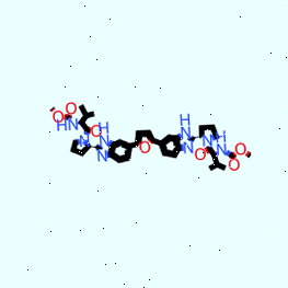 COC(=O)N[C@H](C(=O)N1CCC[C@H]1c1nc2ccc(-c3ccc(-c4ccc5nc([C@@H]6CCCN6C(=O)[C@@H](NC(=O)OC)C(C)C)[nH]c5c4)o3)cc2[nH]1)C(C)C